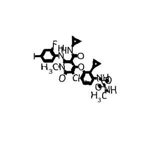 CNS(=O)(=O)Nc1cccc(Oc2c(C(=O)NC3CC3)c(Nc3ccc(I)cc3F)n(C)c(=O)c2C)c1C1CC1